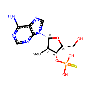 CO[C@@H]1[C@@H](OP(O)(O)=S)[C@@H](CO)O[C@H]1n1cnc2c(N)ncnc21